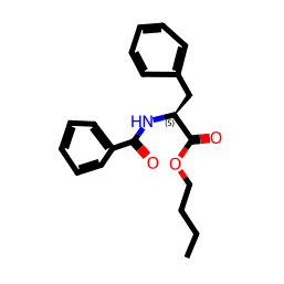 CCCCOC(=O)[C@H](Cc1ccccc1)NC(=O)c1ccccc1